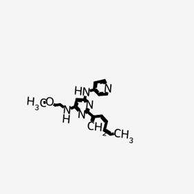 C=C(/C=C\C=C/C)c1nc(NCCOC)cc(Nc2ccncc2)n1